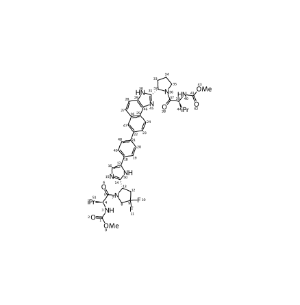 COC(=O)N[C@H](C(=O)N1CC(F)(F)C[C@H]1c1ncc(-c2ccc(-c3ccc4c(ccc5[nH]c([C@@H]6CCCN6C(=O)[C@@H](NC(=O)OC)C(C)C)nc54)c3)cc2)[nH]1)C(C)C